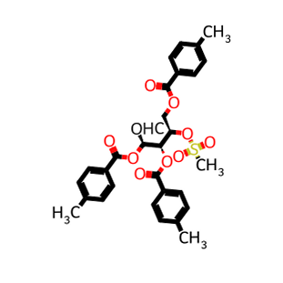 Cc1ccc(C(=O)OC[C@@H](OS(C)(=O)=O)[C@H](OC(=O)c2ccc(C)cc2)[C@H](C=O)OC(=O)c2ccc(C)cc2)cc1